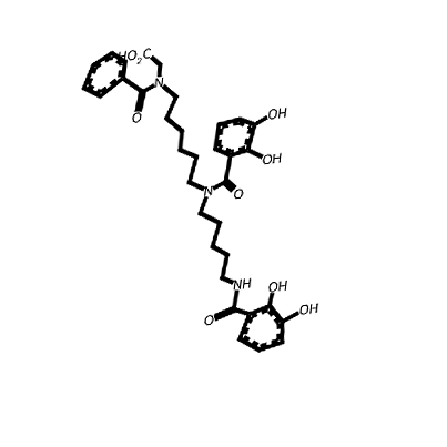 O=C(O)CN(CCCCCCN(CCCCCNC(=O)c1cccc(O)c1O)C(=O)c1cccc(O)c1O)C(=O)c1ccccc1